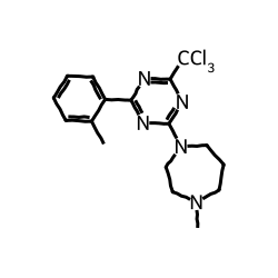 Cc1ccccc1-c1nc(N2CCCN(C)CC2)nc(C(Cl)(Cl)Cl)n1